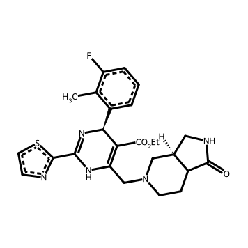 CCOC(=O)C1=C(CN2CCC3C(=O)NC[C@@H]3C2)NC(c2nccs2)=N[C@H]1c1cccc(F)c1C